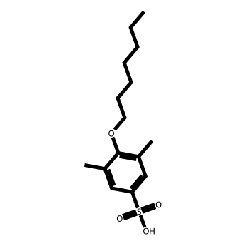 CCCCCCCOc1c(C)cc(S(=O)(=O)O)cc1C